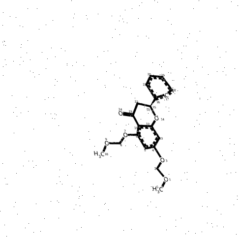 COCOc1cc(OCOC)c2c(c1)O[C@H](c1ccccc1)CC2=O